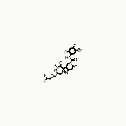 C[C@@H]1Cc2nn3c(c2CN1C(=O)Nc1cc(Br)c(F)cc1F)C(=O)N(C)O[C@H](COCC(F)F)C3